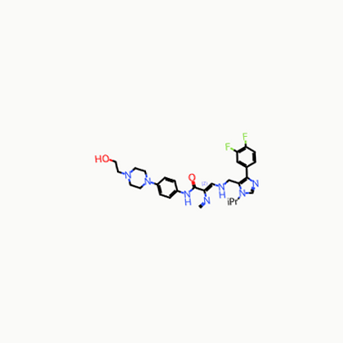 C=N/C(=C\NCc1c(-c2ccc(F)c(F)c2)ncn1C(C)C)C(=O)Nc1ccc(N2CCN(CCO)CC2)cc1